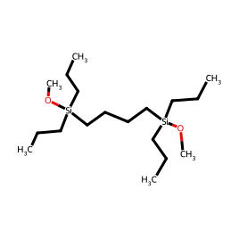 CCC[Si](CCC)(CCCC[Si](CCC)(CCC)OC)OC